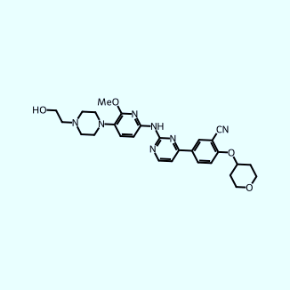 COc1nc(Nc2nccc(-c3ccc(OC4CCOCC4)c(C#N)c3)n2)ccc1N1CCN(CCO)CC1